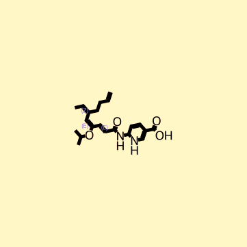 C=CCCC(=C/C)/C=C(\C=C\C(=O)NC1C=CC(C(=O)O)=CN1)OC(C)C